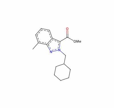 COC(=O)c1c2cccc(C)c2nn1CC1CCCCC1